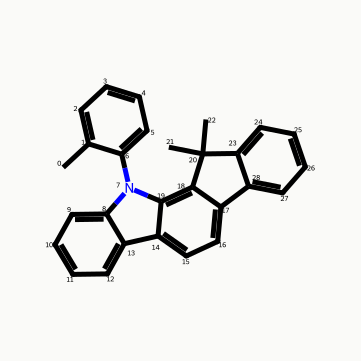 Cc1ccccc1-n1c2ccccc2c2ccc3c(c21)C(C)(C)c1ccccc1-3